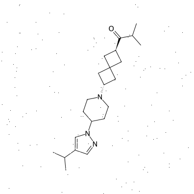 CC(C)c1cnn(C2CCN([C@H]3CC4(C[C@H](C(=O)C(C)C)C4)C3)CC2)c1